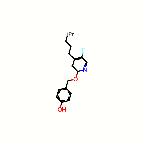 CC(C)CCCC1=C(F)C=NC(OCc2ccc(O)cc2)C1